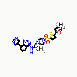 Cc1cc(-c2ccc(S(=O)(=O)N3CCN(C[C@H](C)Nc4ncnc5c(-c6cncnc6)cccc45)CC3)s2)on1